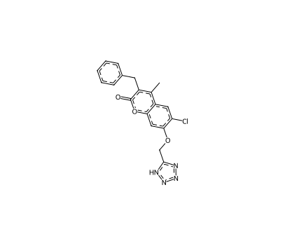 Cc1c(Cc2ccccc2)c(=O)oc2cc(OCc3nnn[nH]3)c(Cl)cc12